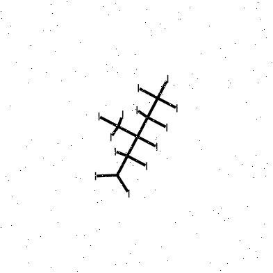 I[C](I)C(I)(I)C(I)(C(I)(I)I)C(I)(I)C(I)(I)I